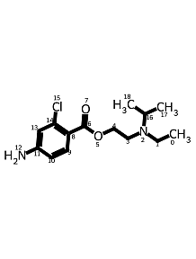 CCN(CCOC(=O)c1ccc(N)cc1Cl)C(C)C